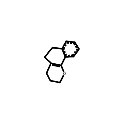 c1ccc2c(c1)CCC1=C2OCCC1